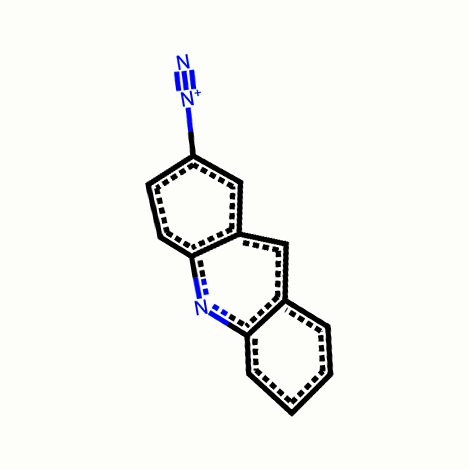 N#[N+]c1ccc2nc3ccccc3cc2c1